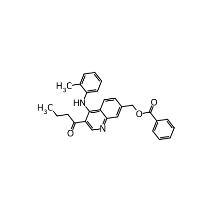 CCCC(=O)c1cnc2cc(COC(=O)c3ccccc3)ccc2c1Nc1ccccc1C